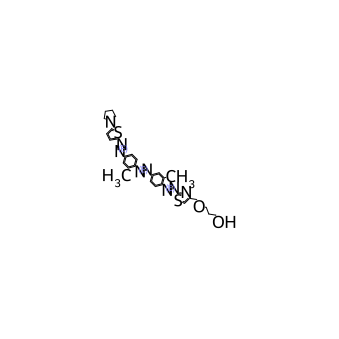 Cc1cc(/N=N/c2ccc(N3CCCC3)s2)ccc1/N=N/c1ccc(/N=N/c2nc(COCCCO)cs2)c(C)c1